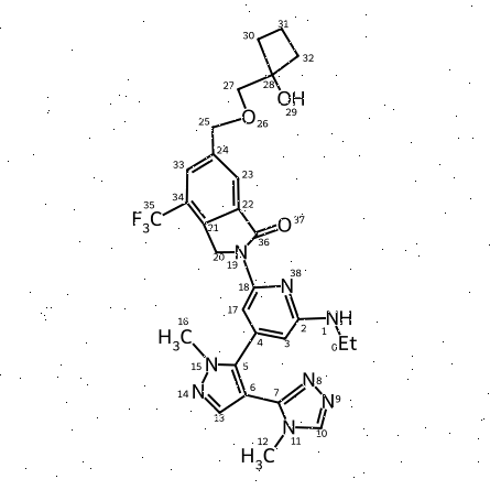 CCNc1cc(-c2c(-c3nncn3C)cnn2C)cc(N2Cc3c(cc(COCC4(O)CCC4)cc3C(F)(F)F)C2=O)n1